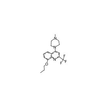 CCCOc1cccc2c(N3CCN(C)CC3)cc(C(F)(F)F)nc12